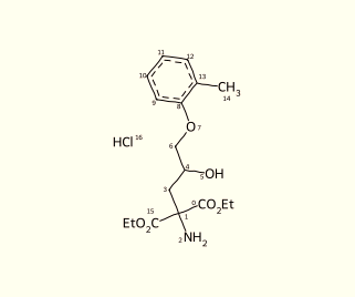 CCOC(=O)C(N)(CC(O)COc1ccccc1C)C(=O)OCC.Cl